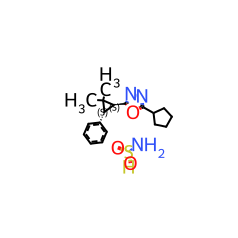 CC1(C)[C@@H](c2ccccc2)[C@@H]1c1nnc(C2CCCC2)o1.N[SH](=O)=O